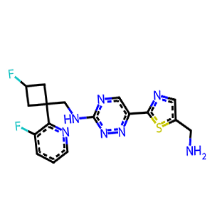 NCc1cnc(-c2cnc(NCC3(c4ncccc4F)CC(F)C3)nn2)s1